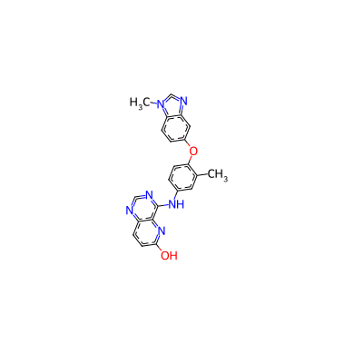 Cc1cc(Nc2ncnc3ccc(O)nc23)ccc1Oc1ccc2c(c1)ncn2C